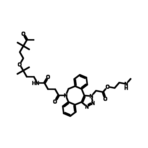 CNCCOC(=O)Cn1nnc2c1-c1ccccc1CN(C(=O)CCC(=O)NCCC(C)(C)OCCC(C)(C)C(C)=O)c1ccccc1-2